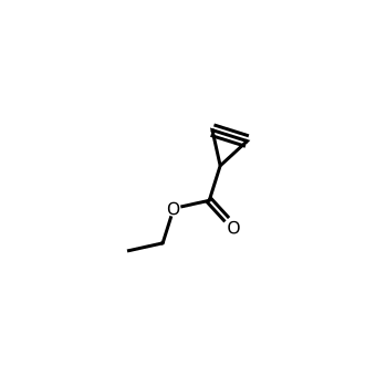 CCOC(=O)C1C#C1